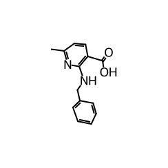 Cc1ccc(C(=O)O)c(NCc2ccccc2)n1